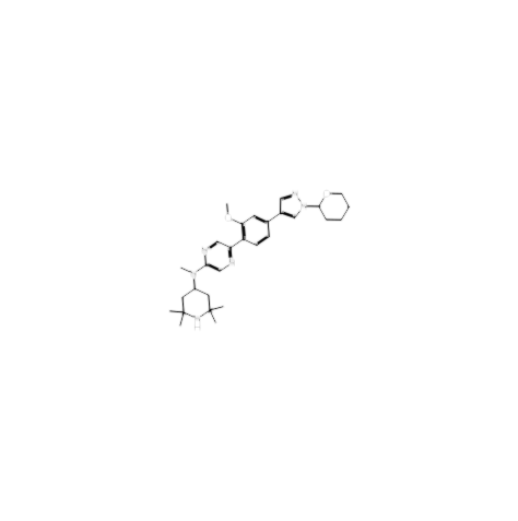 COc1cc(-c2cnn(C3CCCCO3)c2)ccc1-c1cnc(N(C)C2CC(C)(C)NC(C)(C)C2)cn1